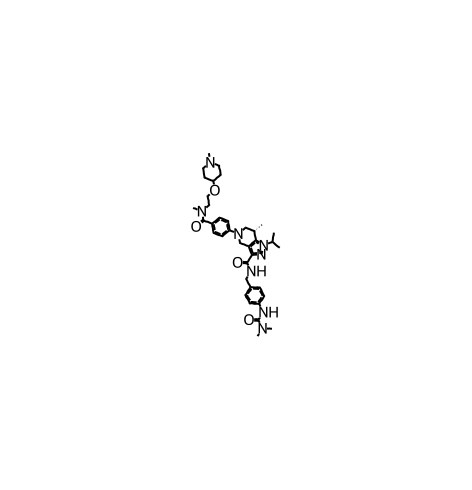 CC(C)n1nc(C(=O)NCc2ccc(NC(=O)N(C)C)cc2)c2c1[C@@H](C)CN(c1ccc(C(=O)N(C)CCOC3CCN(C)CC3)cc1)C2